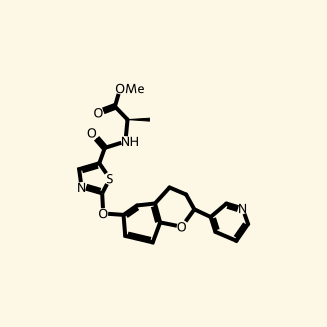 COC(=O)[C@@H](C)NC(=O)c1cnc(Oc2ccc3c(c2)CCC(c2cccnc2)O3)s1